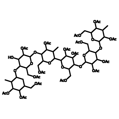 CC(=O)OCC1CC(OC2C(COC(C)=O)OC(OC3C(COC(C)=O)OC(C4OC(COC(C)=O)C(OC5OC(COC(C)=O)C(OC6OC(COC(C)=O)C(OC(C)=O)C(C)C6OC(C)=O)C(OC(C)=O)C5OC(C)=O)C(OC(C)=O)C4OC(C)=O)C(C)C3OC(C)=O)C(OC(C)=O)C2O)C(C)C(OC(C)=O)C1OC(C)=O